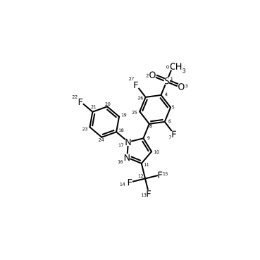 CS(=O)(=O)c1cc(F)c(-c2cc(C(F)(F)F)nn2-c2ccc(F)cc2)cc1F